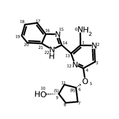 Nc1ncc(O[C@@H]2CC[C@H](O)C2)nc1-c1nc2ccccc2[nH]1